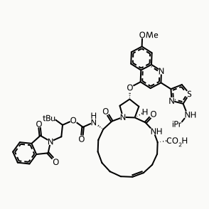 COc1ccc2c(O[C@@H]3C[C@H]4C(=O)N[C@H](C(=O)O)CC/C=C\CCCCC[C@H](NC(=O)OC(CN5C(=O)c6ccccc6C5=O)C(C)(C)C)C(=O)N4C3)cc(-c3csc(NC(C)C)n3)nc2c1